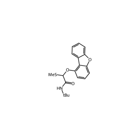 CSC(Oc1cccc2oc3ccccc3c12)C(=O)NC(C)(C)C